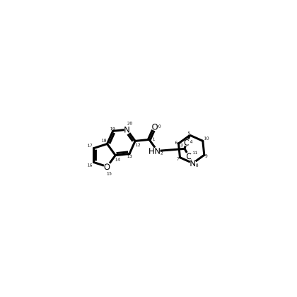 O=C(NC1CC2CCN(CC2)C1)c1cc2occc2cn1